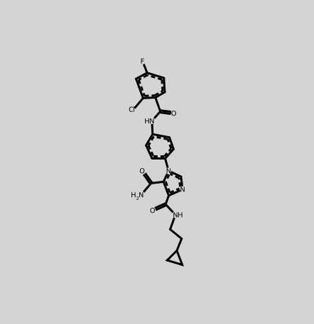 NC(=O)c1c(C(=O)NCCC2CC2)ncn1-c1ccc(NC(=O)c2ccc(F)cc2Cl)cc1